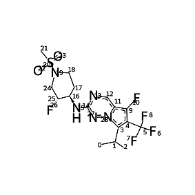 CC(C)c1c(C(F)(F)F)c(F)c2cnc(N[C@@H]3CCN(S(C)(=O)=O)C[C@H]3F)nn12